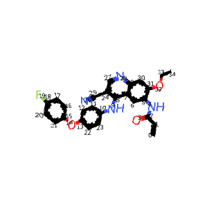 C=CC(=O)Nc1cc2c(Nc3ccc(Oc4ccc(F)cc4)cc3)c(C#N)cnc2cc1OCC